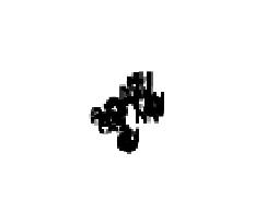 CC(C)(C)n1nc(-c2ccc([N+](=O)[O-])c(OCc3ccccn3)c2)c(C#N)c1Nc1cnccn1